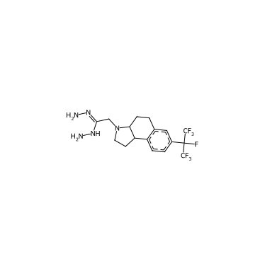 N/N=C(/CN1CCC2c3ccc(C(F)(C(F)(F)F)C(F)(F)F)cc3CCC21)NN